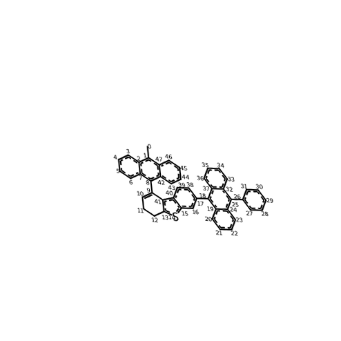 Cc1c2ccccc2c(C2=CCCc3sc4cc(-c5c6ccccc6c(-c6ccccc6)c6ccccc56)ccc4c32)c2ccccc12